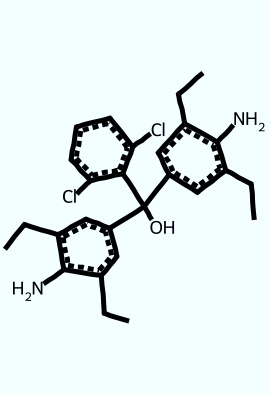 CCc1cc(C(O)(c2cc(CC)c(N)c(CC)c2)c2c(Cl)cccc2Cl)cc(CC)c1N